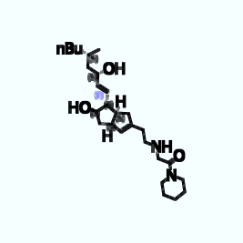 CCCC[C@H](C)C[C@H](O)/C=C/[C@@H]1[C@H]2CC(CCNCC(=O)N3CCCCC3)=C[C@H]2C[C@H]1O